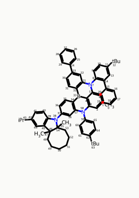 Cc1cc2c3c(c1)N(c1ccc(C(C)(C)C)cc1-c1ccccc1)c1cc(-c4ccccc4)ccc1B3c1ccc(N3c4ccc(C(C)C)cc4C4(C)CCCCCCC34C)cc1N2c1ccc(C(C)(C)C)cc1